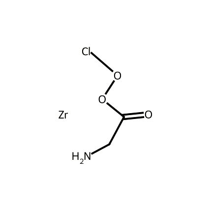 NCC(=O)OOCl.[Zr]